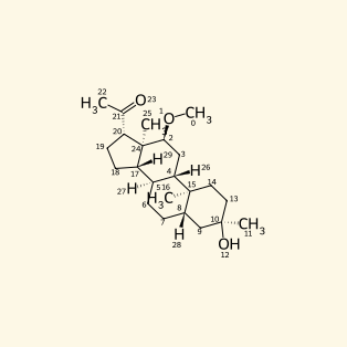 CO[C@H]1C[C@H]2[C@@H](CC[C@H]3C[C@](C)(O)CC[C@@]32C)[C@@H]2CC[C@H](C(C)=O)[C@@]12C